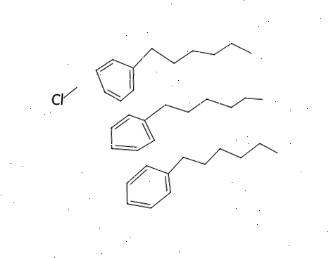 CCCCCCc1ccccc1.CCCCCCc1ccccc1.CCCCCCc1ccccc1.CCl